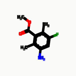 Bc1c(F)cc(N)c(C)c1C(=O)OC